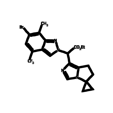 CCOC(=O)C(c1ncn2c1CCC21CC1)n1cc2c(C(F)(F)F)cc(Br)c(C)c2n1